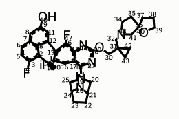 C#Cc1c(F)ccc2cc(O)cc(-c3c(C(C)C)cc4c(N5CC6CCC(C5)N6)nc(OCC5(CN6CCC7(CCCO7)C6)CC5)nc4c3F)c12